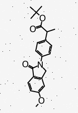 COc1ccc2c(c1)CN(c1ccc(C(C)C(=O)OC(C)(C)C)cc1)C2=O